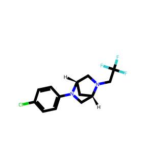 FC(F)(F)CN1C[C@@H]2C[C@H]1CN2c1ccc(Cl)cc1